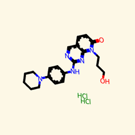 Cl.Cl.O=c1ccc2cnc(Nc3ccc(N4CCCCC4)cc3)nc2n1CCCO